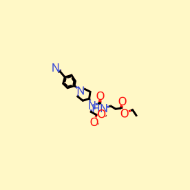 CCOC(=O)CCNC(=O)N(CC(OC)OC)C1CCN(c2ccc(C#N)cc2)CC1